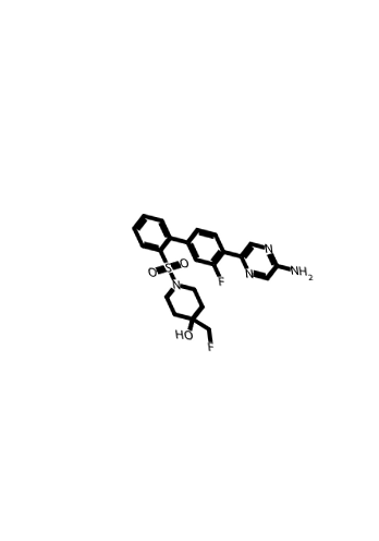 Nc1cnc(-c2ccc(-c3ccccc3S(=O)(=O)N3CCC(O)(CF)CC3)cc2F)cn1